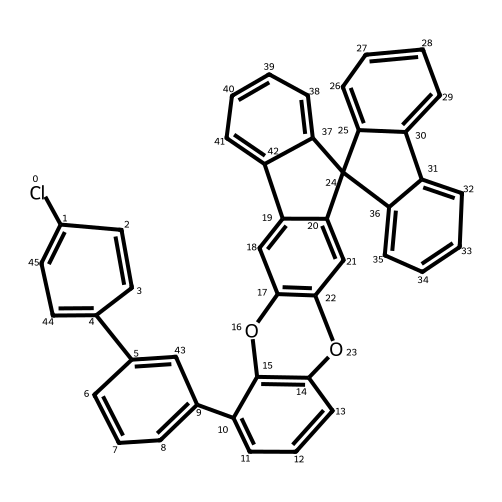 Clc1ccc(-c2cccc(-c3cccc4c3Oc3cc5c(cc3O4)C3(c4ccccc4-c4ccccc43)c3ccccc3-5)c2)cc1